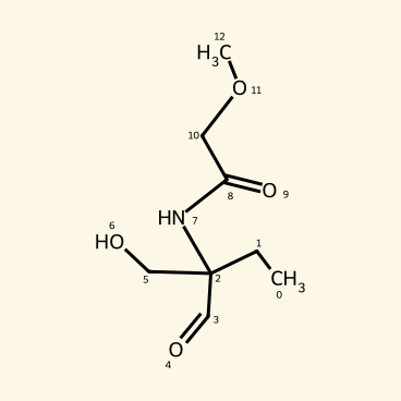 CCC(C=O)(CO)NC(=O)COC